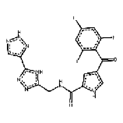 O=C(NCc1nnc(-c2cn[nH]n2)[nH]1)c1cc(C(=O)c2c(F)cc(F)cc2F)c[nH]1